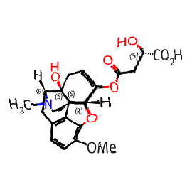 COc1ccc2c3c1O[C@H]1C(OC(=O)C[C@H](O)C(=O)O)=CC[C@@]4(O)[C@@H](C2)N(C)CC[C@]314